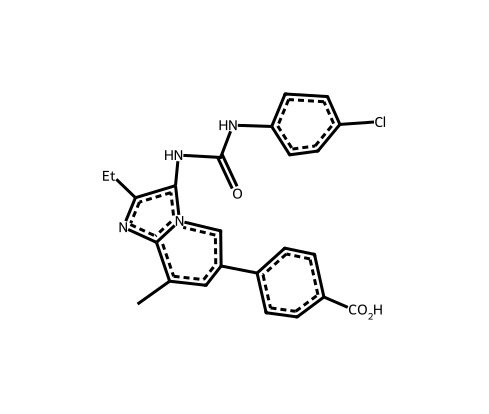 CCc1nc2c(C)cc(-c3ccc(C(=O)O)cc3)cn2c1NC(=O)Nc1ccc(Cl)cc1